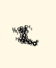 CCOC(=O)N(C(=O)OC(C)(C)C)C1CC[C@@H]2[C@@H](C1)C[C@@]1(O)C(=O)O[C@H](C)[C@H]1[C@H]2/C=C/c1ccc(-c2cccc(F)c2)cn1